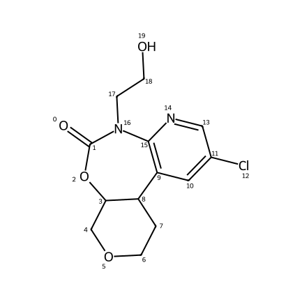 O=C1OC2COCCC2c2cc(Cl)cnc2N1CCO